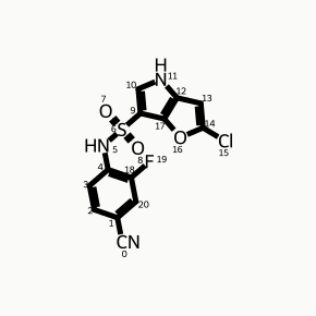 N#Cc1ccc(NS(=O)(=O)c2c[nH]c3cc(Cl)oc23)c(F)c1